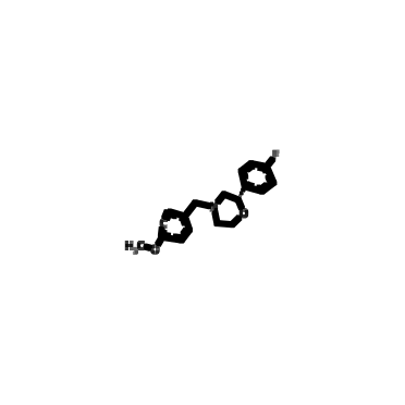 COc1ccc(CN2CCO[C@@H](c3ccc(F)cc3)C2)cc1